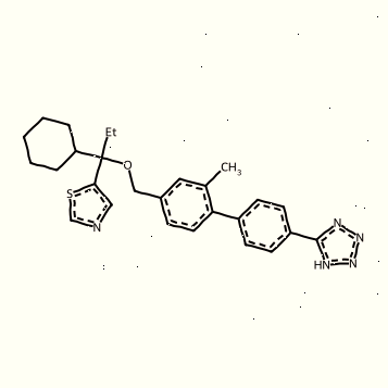 CCC(OCc1ccc(-c2ccc(-c3nnn[nH]3)cc2)c(C)c1)(c1cncs1)C1CCCCC1